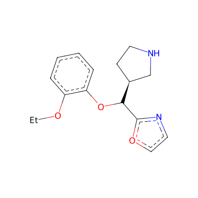 CCOc1ccccc1OC(c1ncco1)[C@H]1CCNC1